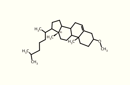 COC1CCC2(C)C(=CCC3C2CC[C@]2(C)C(C(C)CCCC(C)C)CCC32)C1